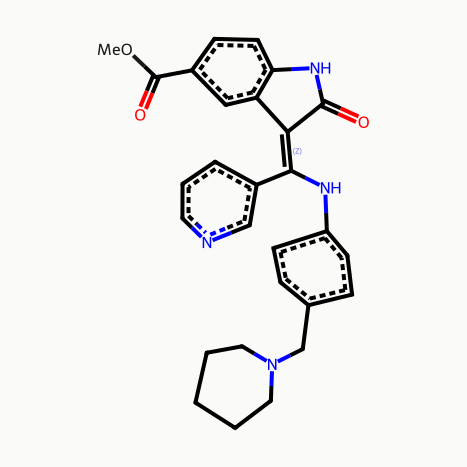 COC(=O)c1ccc2c(c1)/C(=C(/Nc1ccc(CN3CCCCC3)cc1)c1cccnc1)C(=O)N2